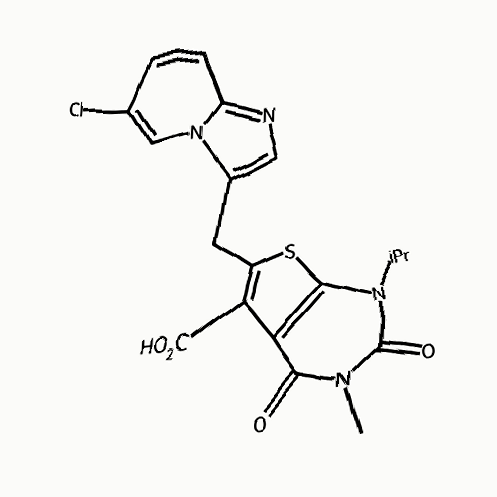 CC(C)n1c(=O)n(C)c(=O)c2c(C(=O)O)c(Cc3cnc4ccc(Cl)cn34)sc21